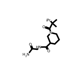 CC(C)C(C)(C)C(=O)N1CCCC(C(=O)NCC(N)=O)C1